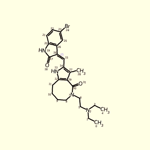 CCN(CC)CCN1CCCCc2[nH]c(/C=C3\C(=O)Nc4ccc(Br)cc43)c(C)c2C1=O